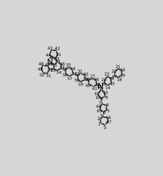 c1ccc(-c2ccc(-c3ccc(N(c4ccc(-c5ccccc5)cc4)c4ccc(-c5ccc(-c6ccc(-c7cc8c9ccccc9n9c%10ccccc%10c(c7)c89)cc6)cc5)cc4)cc3)cc2)cc1